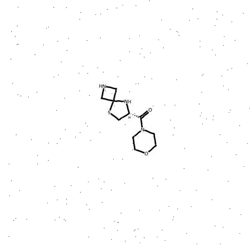 O=C([C@@H]1CSC2(CNC2)N1)N1CCOCC1